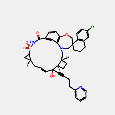 C[C@@]12C[C@H]1C/C=C/[C@@](O)(C#CCCc1ccccn1)[C@@H]1CC[C@H]1CN1C[C@@]3(CCCc4cc(Cl)ccc43)COc3ccc(cc31)C(=O)NS2(=O)=O